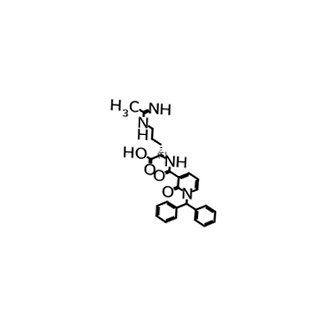 CC(=N)NCCC[C@H](NC(=O)c1cccn(C(c2ccccc2)c2ccccc2)c1=O)C(=O)O